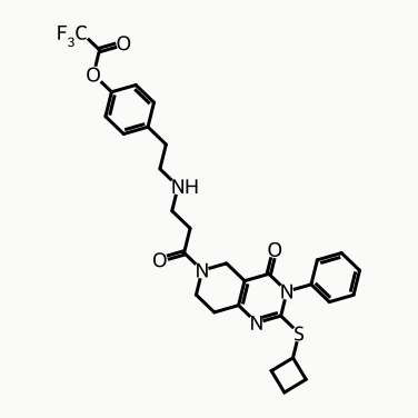 O=C(CCNCCc1ccc(OC(=O)C(F)(F)F)cc1)N1CCc2nc(SC3CCC3)n(-c3ccccc3)c(=O)c2C1